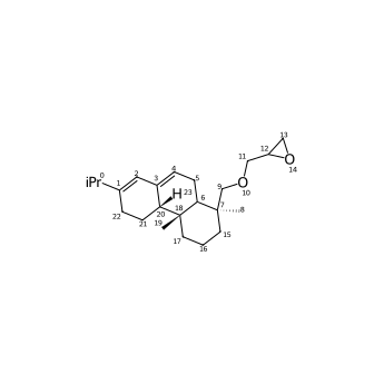 CC(C)C1=CC2=CCC3[C@@](C)(COCC4CO4)CCC[C@]3(C)[C@@H]2CC1